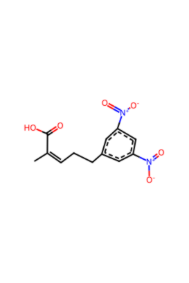 CC(=CCCc1cc([N+](=O)[O-])cc([N+](=O)[O-])c1)C(=O)O